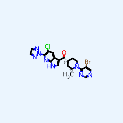 C[C@@H]1C[C@H](C(=O)c2c[nH]c3nc(-n4nccn4)c(Cl)cc23)CCN1c1ncncc1Br